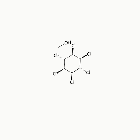 CO.Cl[C@H]1[C@H](Cl)[C@@H](Cl)[C@@H](Cl)[C@H](Cl)[C@H]1Cl